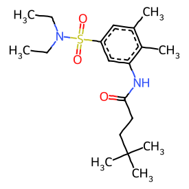 CCN(CC)S(=O)(=O)c1cc(C)c(C)c(NC(=O)CCC(C)(C)C)c1